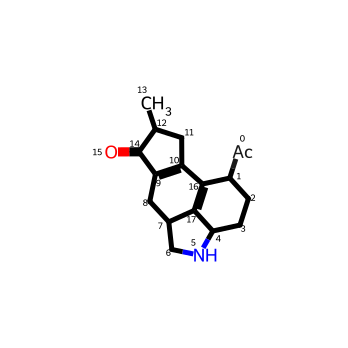 CC(=O)C1CCC2NCC3CC4=C(CC(C)C4=O)C1=C32